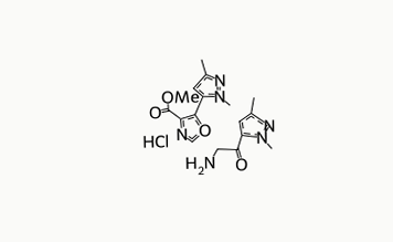 COC(=O)c1ncoc1-c1cc(C)nn1C.Cc1cc(C(=O)CN)n(C)n1.Cl